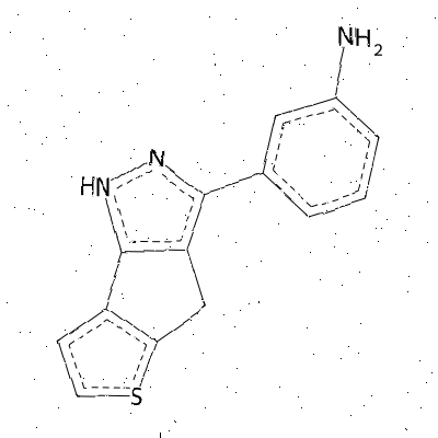 Nc1cccc(-c2n[nH]c3c2Cc2sccc2-3)c1